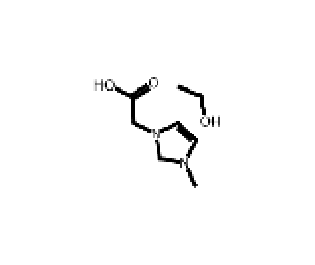 CCO.CN1C=CN(CC(=O)O)C1